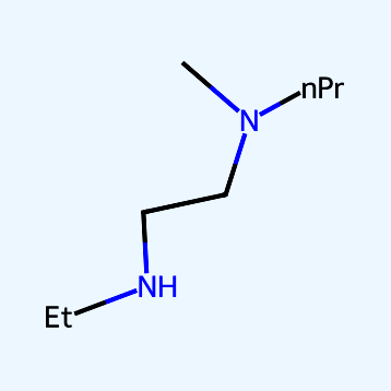 CCCN(C)CCNCC